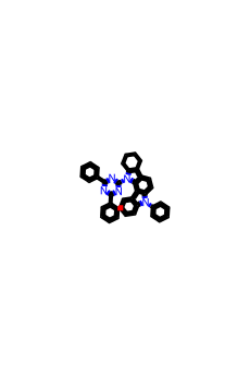 c1ccc(-c2nc(-c3ccccc3)nc(-n3c4c(c5ccc6c(c7ccccc7n6-c6ccccc6)c53)CCCC4)n2)cc1